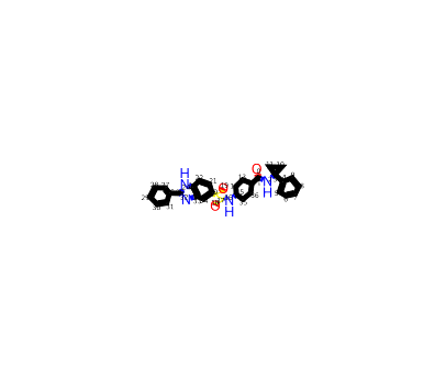 O=C(NC1(c2ccccc2)CC1)C1CCC(NS(=O)(=O)c2ccc3[nH]c(-c4ccccc4)nc3c2)CC1